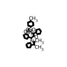 Cc1ccc(S(=O)(=O)Nc2c(C(c3cccc(C)c3)n3c(C)c(C)c4ccccc43)oc3ccccc23)cc1